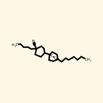 CCCCCCCC12CCC(C3CCC(C#N)(CCCCC)CC3)(CC1)CC2